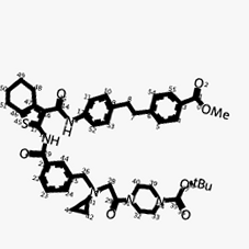 COC(=O)c1ccc(CCc2ccc(NC(=O)c3c(NC(=O)c4cccc(CN(CC(=O)N5CCN(C(=O)OC(C)(C)C)CC5)C5CC5)c4)sc4c3CCCC4)cc2)cc1